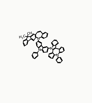 CC1(C)c2ccccc2-c2cc3c(cc21)C=Cc1ccccc1N3c1ccc2c(c1)c1cc(-n3c4c(c5ccccc53)-c3ccccc3N(c3ccccc3)c3ccccc3-4)ccc1n2-c1ccccc1